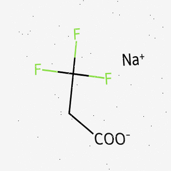 O=C([O-])CC(F)(F)F.[Na+]